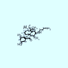 C[C@@H]1[C@H](NCCCN)C[C@H]2C(C)(C)CCC[C@@]2(C)[C@H]1C(=O)c1cc(O)cc(O)c1